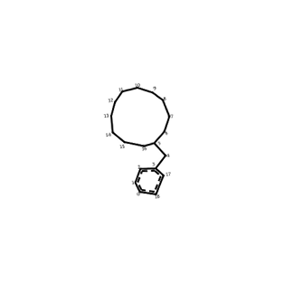 c1ccc(CC2CCCCCCCCCCC2)cc1